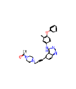 CCC(=O)N1CCN(CC#Cc2ccc3ncnc(Nc4ccc(Oc5ccccc5)c(C)c4)c3c2)CC1